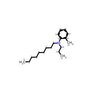 CCCCCCCCCN(CCC)c1ccccc1C